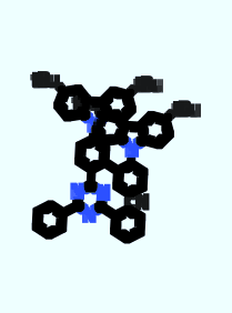 CC(C)(C)c1ccc2c(c1)c1cc(C(C)(C)C)ccc1n2-c1ccc(-c2nc(-c3ccccc3)nc(-c3ccccc3)n2)c(-c2cc(C#N)ccc2-n2c3ccc(C(C)(C)C)cc3c3cc(C(C)(C)C)ccc32)c1